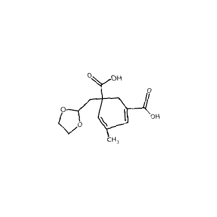 CC1=CC(CC2OCCO2)(C(=O)O)CC(C(=O)O)=C1